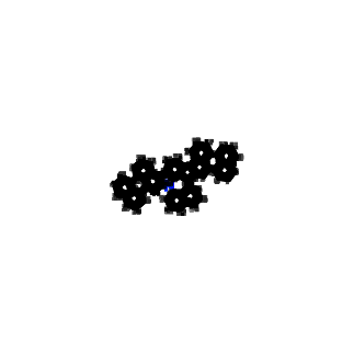 CC12c3cc(-c4cccc5ccccc45)c4ccccc4c3-c3ccc4c5c6ccccc6c(-c6cccc7ccccc67)cc5n(c4c31)-c1cccc3cccc2c13